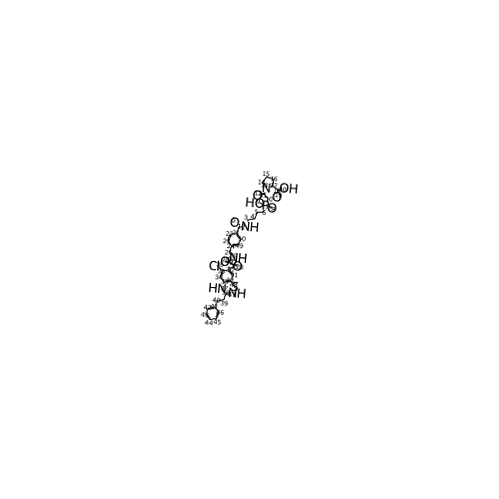 O=C(NCCCCP(=O)(O)CC(=O)N1CCCC1C(=O)O)c1ccc(CNS(=O)(=O)c2cc3c(cc2Cl)NC(CCc2ccccc2)NS3)cc1